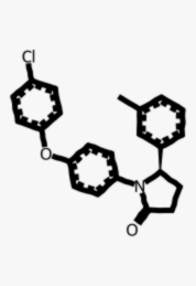 Cc1cccc([C@H]2CCC(=O)N2c2ccc(Oc3ccc(Cl)cc3)cc2)c1